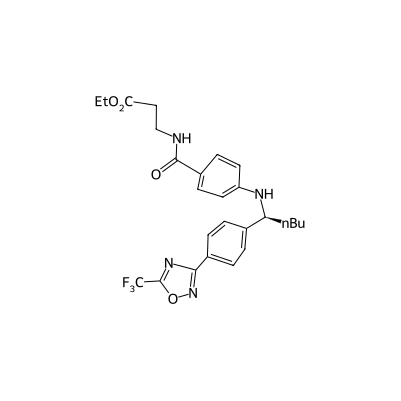 CCCC[C@H](Nc1ccc(C(=O)NCCC(=O)OCC)cc1)c1ccc(-c2noc(C(F)(F)F)n2)cc1